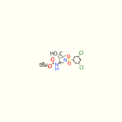 CC(C)(C)OC(=O)N[C@H]1CN(S(=O)(=O)c2cc(Cl)cc(Cl)c2)C(C)(C(=O)O)C1